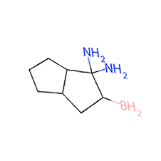 BC1CC2CCCC2C1(N)N